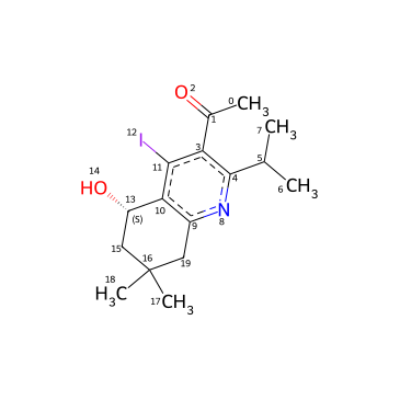 CC(=O)c1c(C(C)C)nc2c(c1I)[C@@H](O)CC(C)(C)C2